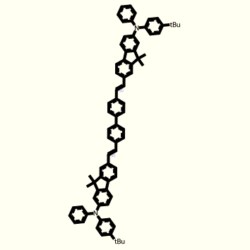 CC(C)(C)c1ccc(N(c2ccccc2)c2ccc3c(c2)C(C)(C)c2cc(/C=C/c4ccc(-c5ccc(/C=C/c6ccc7c(c6)C(C)(C)c6cc(N(c8ccccc8)c8ccc(C(C)(C)C)cc8)ccc6-7)cc5)cc4)ccc2-3)cc1